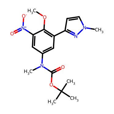 COc1c(-c2ccn(C)n2)cc(N(C)C(=O)OC(C)(C)C)cc1[N+](=O)[O-]